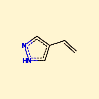 C=Cc1cn[nH]c1